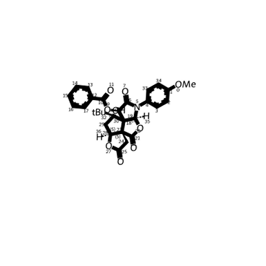 COc1ccc(N2C(=O)[C@H](OC(=O)c3ccccc3)C34[C@@H]2OC(=O)[C@@]32CC(=O)O[C@H]2C[C@@]4(O)C(C)(C)C)cc1